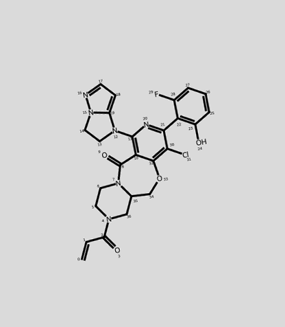 C=CC(=O)N1CCN2C(=O)c3c(N4CCn5nccc54)nc(-c4c(O)cccc4F)c(Cl)c3OCC2C1